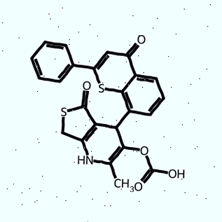 CC1=C(OC(=O)O)C(c2cccc3c(=O)cc(-c4ccccc4)sc23)C2=C(CSC2=O)N1